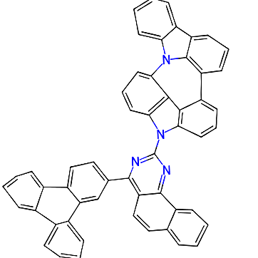 c1ccc2c(c1)ccc1c(-c3ccc4c5ccccc5c5ccccc5c4c3)nc(-n3c4cccc5c6cccc7c8ccccc8n(c8cccc3c8c54)c67)nc12